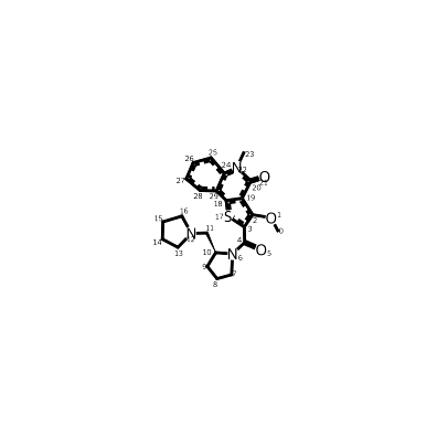 COc1c(C(=O)N2CCC[C@H]2CN2CCCC2)sc2c1c(=O)n(C)c1ccccc21